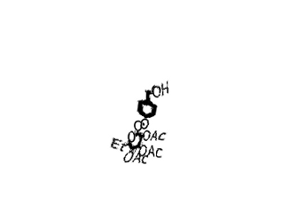 CC[C@H]1O[C@@H](OOc2ccc(CO)cc2)[C@H](OC(C)=O)[C@@H](OC(C)=O)[C@@H]1OC(C)=O